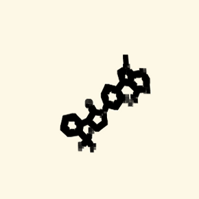 Cn1cc(-c2ccc(N3CCC(c4ccccc4C(F)(F)F)C3=O)cc2)c2c(N)ncnc21